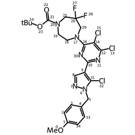 COc1ccc(Cn2ncc(-c3nc(Cl)c(Cl)c(N4CCN(C(=O)OC(C)(C)C)CC(F)(F)C4)n3)c2Cl)cc1